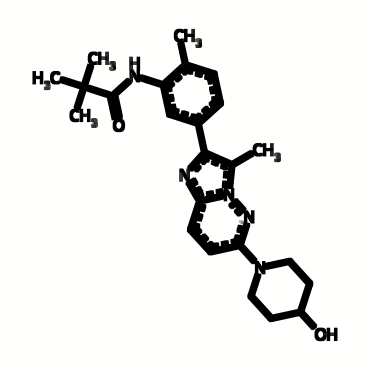 Cc1ccc(-c2nc3ccc(N4CCC(O)CC4)nn3c2C)cc1NC(=O)C(C)(C)C